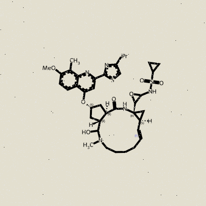 COc1ccc2c(O[C@@H]3C[C@H]4C(=O)N[C@]5(C6OC6NS(=O)(=O)C6CC6)C[C@H]5/C=C/CCCCN(C)C(O)[C@@H]4C3)cc(-c3nc(C(C)C)cs3)nc2c1C